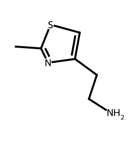 Cc1nc(CCN)cs1